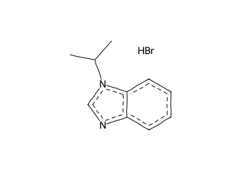 Br.CC(C)n1cnc2ccccc21